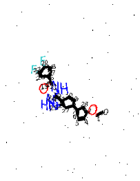 CCOc1cccc(-c2ccc3c(NC(=O)c4ccc(F)c(F)c4)n[nH]c3c2)c1